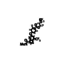 CNC(=O)c1csc2c(C(F)(F)F)cc(O[C@@H]3CCN(C(=O)O[C@@H](C)COC(F)(F)F)[C@H](C)C3)nc12